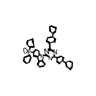 O=P(c1ccccc1)(c1ccccc1)c1ccc2c(c1)c1ccccc1n2-c1nc(-c2ccc(-c3ccccc3)cc2)nc(-c2ccc(-c3ccccc3)cc2)n1